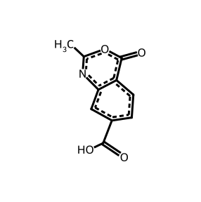 Cc1nc2cc(C(=O)O)ccc2c(=O)o1